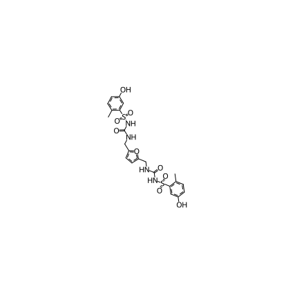 Cc1ccc(O)cc1S(=O)(=O)NC(=O)NCc1ccc(CNC(=O)NS(=O)(=O)c2cc(O)ccc2C)o1